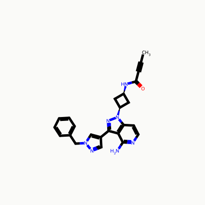 CC#CC(=O)N[C@H]1C[C@@H](n2nc(-c3cnn(Cc4ccccc4)c3)c3c(N)nccc32)C1